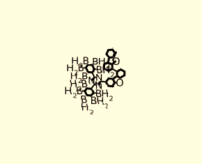 Bc1c(B)c(B)c(-c2nc(-c3ccc4oc5cccc(-c6cccc7c6oc6ccccc67)c5c4c3)nc(-c3c(B)c(B)c(B)c(B)c3B)n2)c(B)c1B